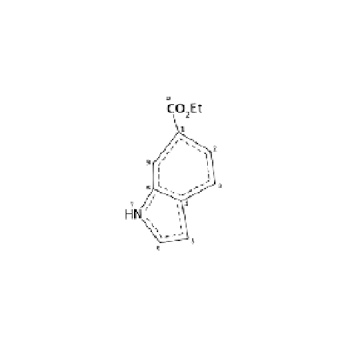 CCOC(=O)c1ccc2[c]c[nH]c2c1